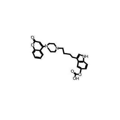 O=C(O)Oc1ccc2[nH]cc(CCCCN3CCN(c4cc(=O)oc5ccccc45)CC3)c2c1